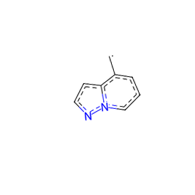 [CH2]c1cccn2nccc12